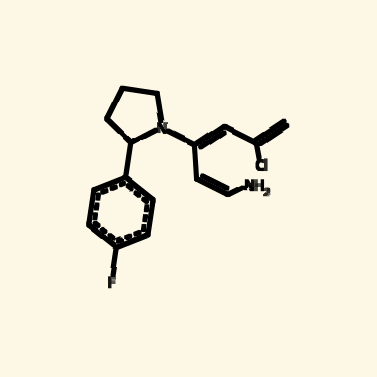 C=C(Cl)/C=C(\C=C/N)N1CCCC1c1ccc(F)cc1